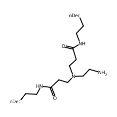 CCCCCCCCCCCCNC(=O)CCN(CCN)CCC(=O)NCCCCCCCCCCCC